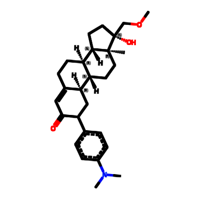 COC[C@]1(O)CC[C@H]2[C@@H]3CCC4=CC(=O)C(c5ccc(N(C)C)cc5)C[C@@H]4[C@H]3CC[C@@]21C